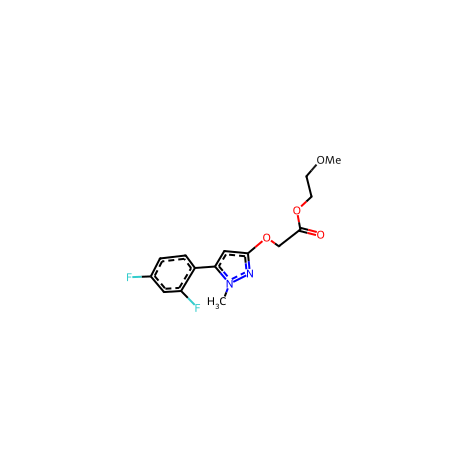 COCCOC(=O)COc1cc(-c2ccc(F)cc2F)n(C)n1